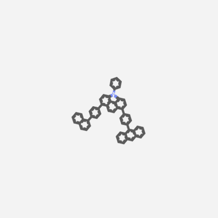 c1ccc(-n2c3ccc(-c4ccc(-c5cccc6ccccc56)cc4)c4ccc5c(-c6ccc(-c7c8ccccc8cc8ccccc78)cc6)ccc2c5c43)cc1